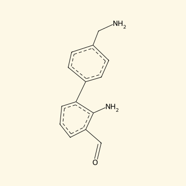 NCc1ccc(-c2cccc(C=O)c2N)cc1